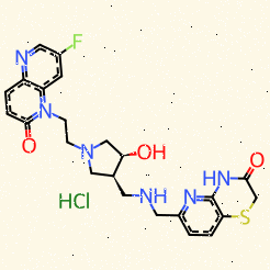 Cl.O=C1CSc2ccc(CNC[C@H]3CN(CCn4c(=O)ccc5ncc(F)cc54)C[C@H]3O)nc2N1